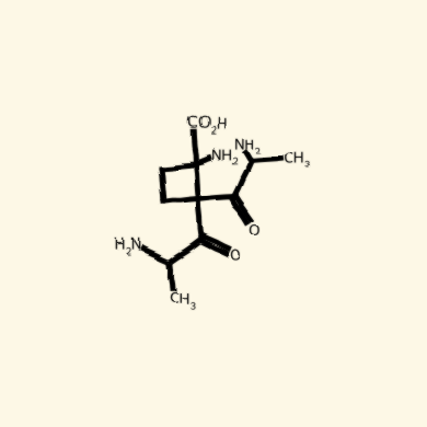 CC(N)C(=O)C1(C(=O)C(C)N)CCC1(N)C(=O)O